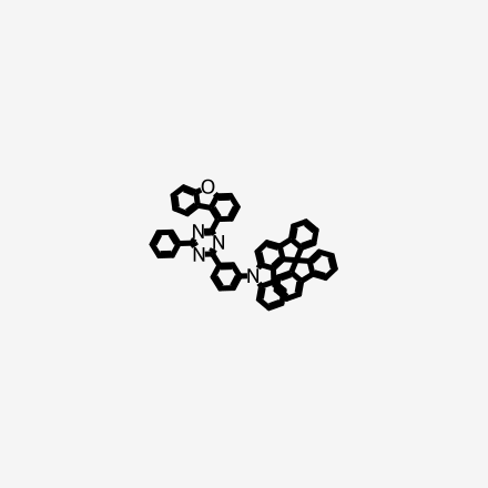 c1ccc(-c2nc(-c3cccc(-n4c5ccccc5c5c6c(ccc54)-c4ccccc4C64c5ccccc5-c5ccccc54)c3)nc(-c3cccc4oc5ccccc5c34)n2)cc1